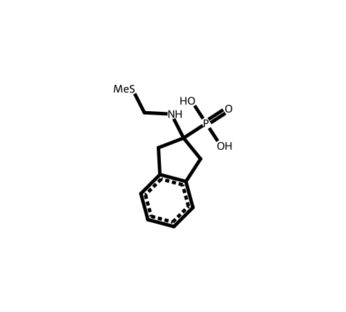 CSCNC1(P(=O)(O)O)Cc2ccccc2C1